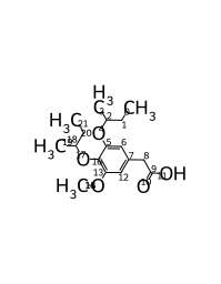 CCC(C)Oc1cc(CC(=O)O)cc(OC)c1OC(C)CC